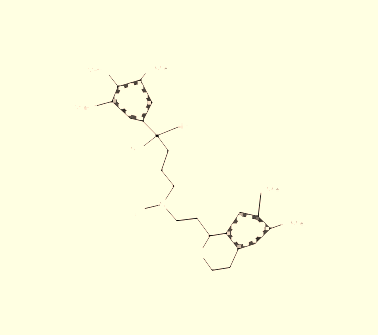 COc1cc2c(cc1OC)C(CCN(C)CCCC(C#N)(c1cc(OC)c(OC)c(OC)c1)C(C)C)OCC2